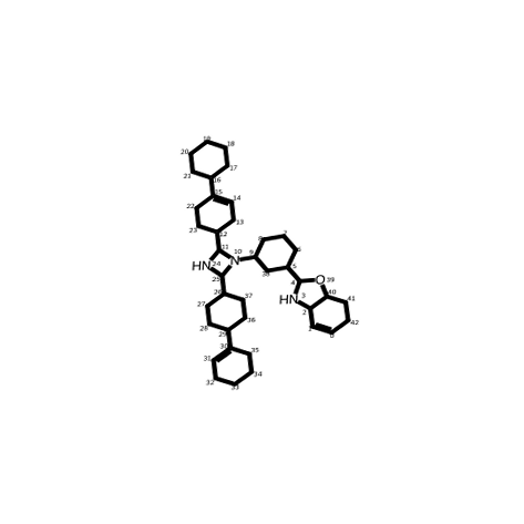 C1=CC2NC(C3CCCC(N4C(C5CC=C(C6CCCCC6)CC5)NC4C4CCC(C5=CCCCC5)CC4)C3)OC2CC1